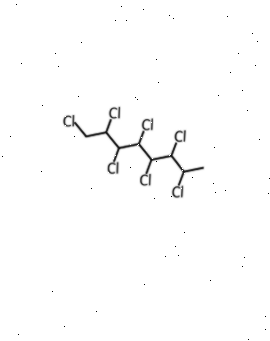 CC(Cl)C(Cl)C(Cl)C(Cl)C(Cl)C(Cl)CCl